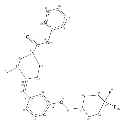 CC1CN(C(=O)Nc2cccnn2)CC/C1=C\c1cccc(OCC2CCC(F)(F)CC2)c1